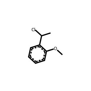 COc1ccccc1C(C)Cl